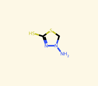 NN1CSC(S)=N1